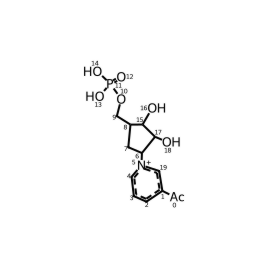 CC(=O)c1ccc[n+](C2CC(COP(=O)(O)O)C(O)C2O)c1